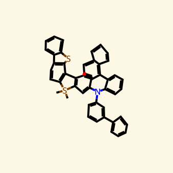 CS1(C)c2cc(N(c3cccc(-c4ccccc4)c3)c3ccccc3C3=c4ccccc4=CCC3)c#cc2-c2c1ccc1c2sc2ccccc21